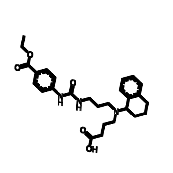 CCOC(=O)c1ccc(NC(=O)NCCCN(CCCC(=O)O)C2CCCc3ccccc32)cc1